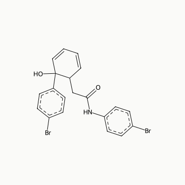 O=C(CC1C=CC=CC1(O)c1ccc(Br)cc1)Nc1ccc(Br)cc1